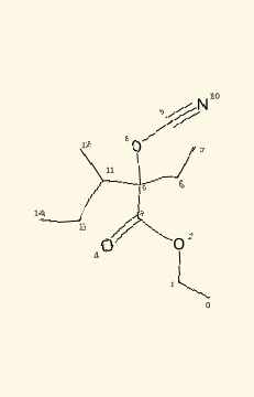 CCOC(=O)C(CC)(OC#N)C(C)CC